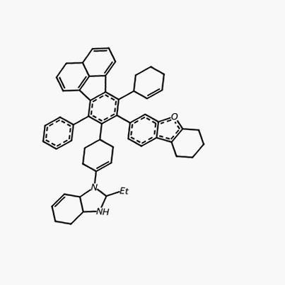 CCC1NC2CCC=CC2N1C1=CCC(c2c(-c3ccccc3)c3c(c(C4C=CCCC4)c2-c2ccc4c5c(oc4c2)CCCC5)C2=CC=CC4CC=CC3=C24)CC1